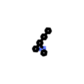 c1ccc(-c2ccc(-c3ccc4c5ccccc5n5c6ccccc6nc5c4c3)cc2)cc1